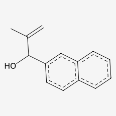 C=C(C)C(O)c1ccc2ccccc2c1